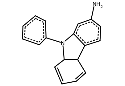 Nc1ccc2c(c1)N(c1ccccc1)C1C=CC=CC21